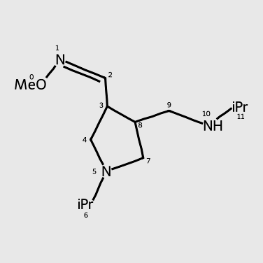 CO/N=C\C1CN(C(C)C)CC1CNC(C)C